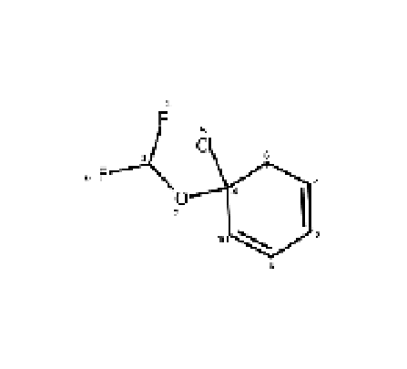 FC(F)OC1(Cl)[CH]C=CC=C1